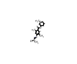 CCN(C)/C=N/c1cc(C)c(C(=O)OC2CCCN(C)C2)cc1C